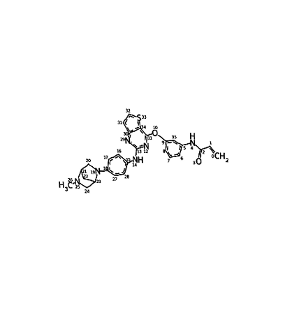 C=CC(=O)Nc1cccc(Oc2nc(Nc3ccc(N4CC5CC4CN5C)cc3)nc3ccsc23)c1